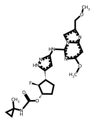 COCc1cn2c(Nc3cc([C@@H]4CC[C@H](OC(=O)NC5(C)CC5)[C@H]4F)[nH]n3)nc(OC)cc2n1